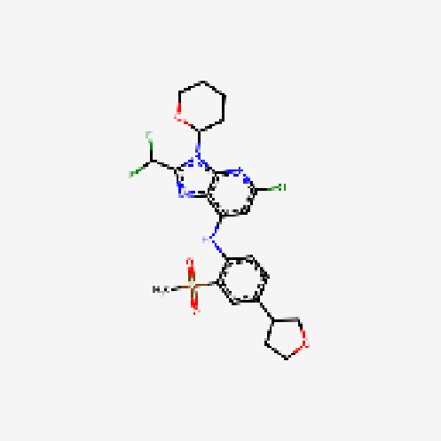 CS(=O)(=O)c1cc(C2CCOC2)ccc1Nc1cc(Cl)nc2c1nc(C(F)F)n2C1CCCCO1